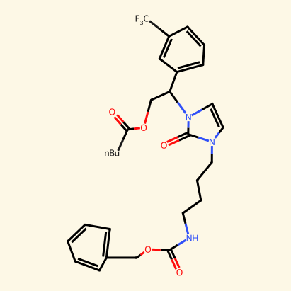 CCCCC(=O)OCC(c1cccc(C(F)(F)F)c1)n1ccn(CCCCNC(=O)OCc2ccccc2)c1=O